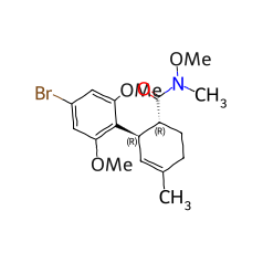 COc1cc(Br)cc(OC)c1[C@@H]1C=C(C)CC[C@H]1C(=O)N(C)OC